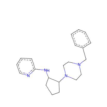 c1ccc(CN2CCN(C3CCCC3Nc3ccccn3)CC2)cc1